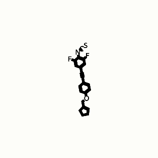 Fc1cc(C#Cc2ccc(OCC3=CCCC3)cc2)cc(F)c1N=C=S